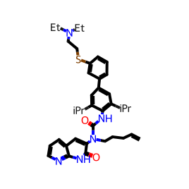 C=CCCCN(C(=O)Nc1c(C(C)C)cc(-c2cccc(SCCN(CC)CC)c2)cc1C(C)C)c1cc2cccnc2[nH]c1=O